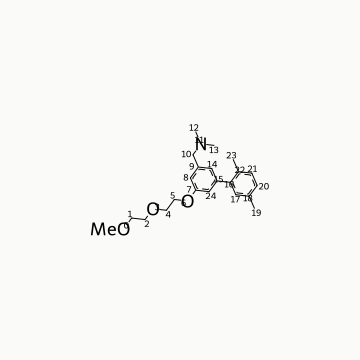 COCCOCCOc1cc(CN(C)C)cc(-c2cc(C)ccc2C)c1